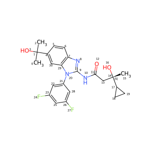 CC(C)(O)c1ccc2nc(NC(=O)C[C@](C)(O)C3CC3)n(-c3cc(F)cc(F)c3)c2c1